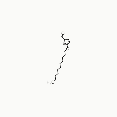 CCCCCCCCCCCOc1ccc(C=O)s1